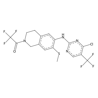 CSc1cc2c(cc1Nc1ncc(C(F)(F)F)c(Cl)n1)CCN(C(=O)C(F)(F)F)C2